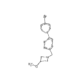 COC1CN(Cc2ccc(-c3ccc(Br)cc3)nn2)C1